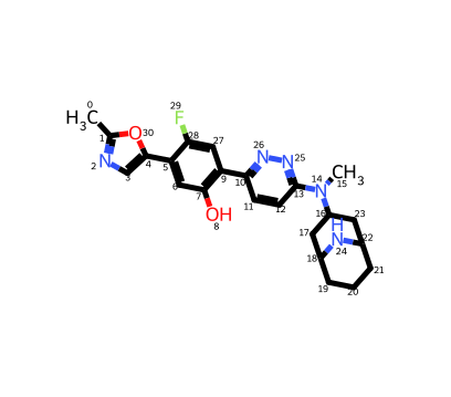 Cc1ncc(-c2cc(O)c(-c3ccc(N(C)C4CC5CCCC(C4)N5)nn3)cc2F)o1